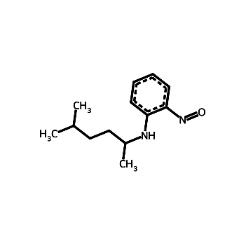 CC(C)CCC(C)Nc1ccccc1N=O